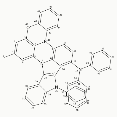 Cc1cc2c3c(c1)-n1c4c(ccc(N(c5ccccc5)c5ccccc5)c4c4c1c1ccccc1n4-c1ccccc1)B3c1ccccc1O2